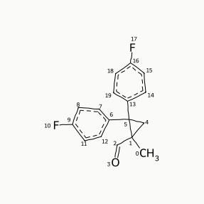 CC1(C=O)CC1(c1ccc(F)cc1)c1ccc(F)cc1